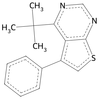 CC(C)(C)c1ncnc2scc(-c3ccccc3)c12